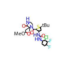 COC(=O)CC1(C)C(=O)NCCN1C(=O)c1sc(C(C)(C)C)cc1NC(=O)Nc1ccc(F)c(F)c1Cl